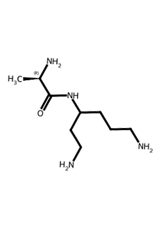 C[C@@H](N)C(=O)NC(CCN)CCCN